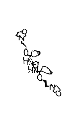 O=C(NONC(=O)OCCN1CCOC1)OCCN1CCOC1